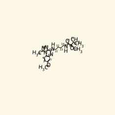 COc1ccc2c(c1)nc(NCCCCNC(=O)[C@H](OC)C(C)C)c1nnc(C)n12